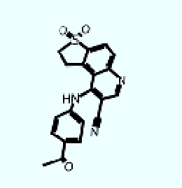 CC(=O)c1ccc(Nc2c(C#N)cnc3ccc4c(c23)CCS4(=O)=O)cc1